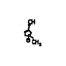 C#CC1=CCP(=O)(CC)C1